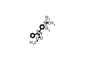 CCOC(=O)c1nc(-c2ccc(SC(C)(C)C)cc2)sc1-c1ccccc1